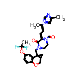 C/C(=C\C=C1\C(=O)N(CC23CC2COc2ccc(OC(C)(F)F)cc23)CCN1C=O)n1cnc(C)c1